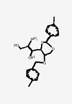 Cc1ccc(COC2COC(c3ccc(C)cc3)OC2C(O)C(N)CO)cc1